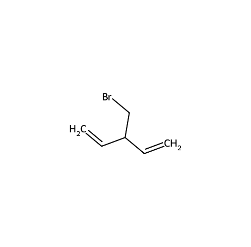 C=CC(C=C)CBr